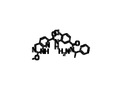 COC1N=Cc2ccc(C(=O)Nc3cc(C(=O)N(N)C(C)c4ccccc4)ccc3Cl)nc2N1